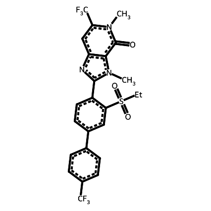 CCS(=O)(=O)c1cc(-c2ccc(C(F)(F)F)cc2)ccc1-c1nc2cc(C(F)(F)F)n(C)c(=O)c2n1C